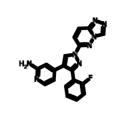 Nc1cc(-c2cn(-c3ccc4nncn4n3)nc2-c2ccccc2F)ccn1